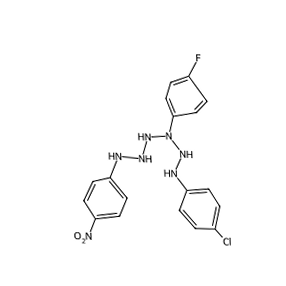 O=[N+]([O-])c1ccc(NNNN(NNc2ccc(Cl)cc2)c2ccc(F)cc2)cc1